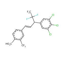 O=C(O)c1ccc(C=CC(c2cc(Cl)c(Cl)c(Cl)c2)C(F)(F)C(F)(F)F)cc1C(F)(F)F